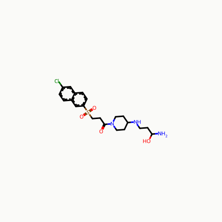 NC(O)CCNC1CCN(C(=O)CCS(=O)(=O)c2ccc3cc(Cl)ccc3c2)CC1